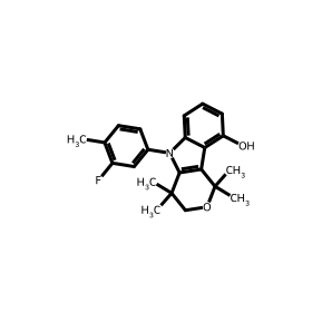 Cc1ccc(-n2c3c(c4c(O)cccc42)C(C)(C)OCC3(C)C)cc1F